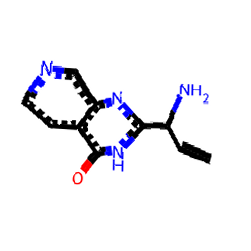 C=CC(N)c1nc2cnccc2c(=O)[nH]1